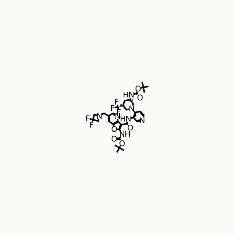 CC(C)(C)OC(=O)Nc1oc2cc(CN3CC(F)(F)C3)cnc2c1C(=O)Nc1cnccc1N1C[C@@H](NC(=O)OC(C)(C)C)C[C@@H](C(F)(F)F)C1